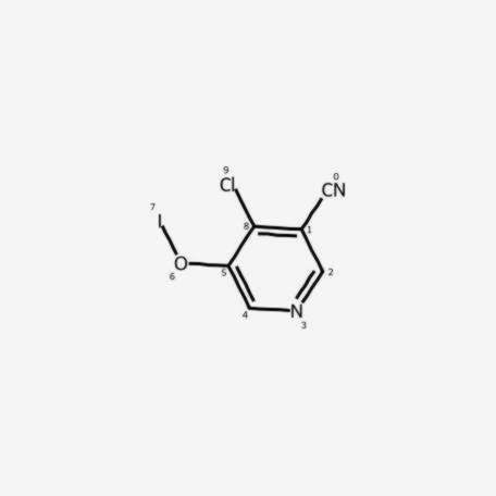 N#Cc1cncc(OI)c1Cl